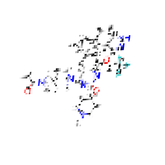 C=CC(=O)N1CC2(CCN(c3nc(OC4CCN(C)CC4)nc4c(OCC(F)(F)F)c(-c5c(C)ccc6[nH]ncc56)c(C5CC5)cc34)CC2)C1